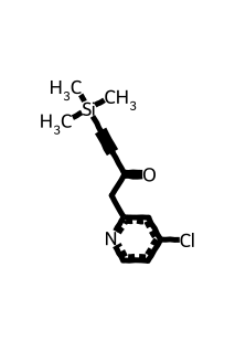 C[Si](C)(C)C#CC(=O)Cc1cc(Cl)ccn1